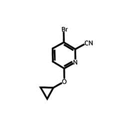 N#Cc1nc(OC2CC2)ccc1Br